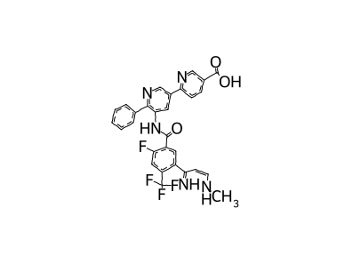 CN/C=C\C(=N)c1cc(C(=O)Nc2cc(-c3ccc(C(=O)O)cn3)cnc2-c2ccccc2)c(F)cc1C(F)(F)F